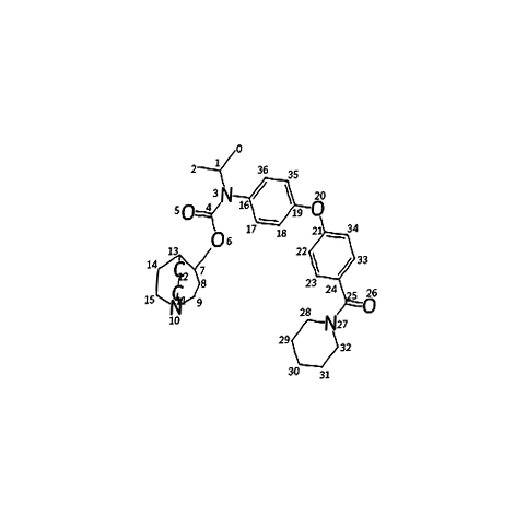 CC(C)N(C(=O)OC1CCN2CCC1CC2)c1ccc(Oc2ccc(C(=O)N3CCCCC3)cc2)cc1